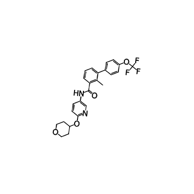 Cc1c(C(=O)Nc2ccc(OC3CCOCC3)nc2)cccc1-c1ccc(OC(F)(F)F)cc1